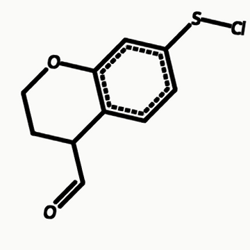 O=CC1CCOc2cc(SCl)ccc21